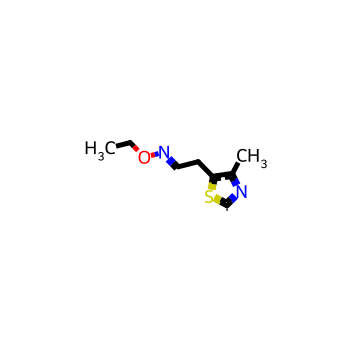 CCON=CCc1s[c]nc1C